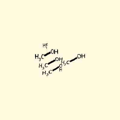 CO.CO.CO.CO.[Hf]